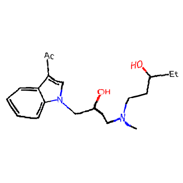 CCC(O)CCN(C)CC(O)Cn1cc(C(C)=O)c2ccccc21